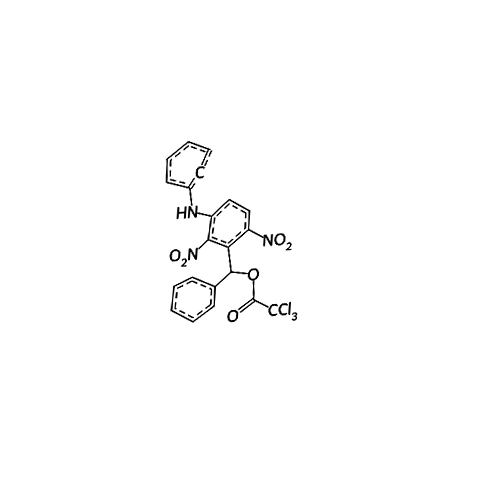 O=C(OC(c1ccccc1)c1c([N+](=O)[O-])ccc(Nc2ccccc2)c1[N+](=O)[O-])C(Cl)(Cl)Cl